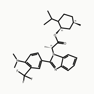 CC(C)C1CC[C@@H](C)C[C@H]1OC(=O)[C@@H](C)n1c(-c2ccc(N(C)C)c(C(F)(F)F)c2)nc2ccccc21